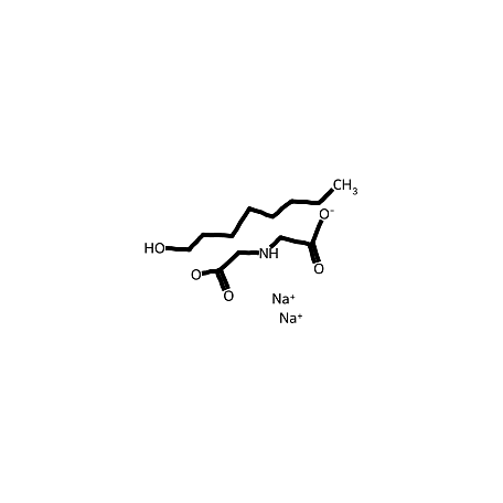 CCCCCCCCO.O=C([O-])CNCC(=O)[O-].[Na+].[Na+]